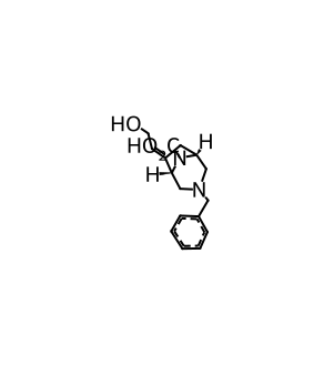 O=C(O)N1[C@@H]2CC(=CCO)[C@H]1CN(Cc1ccccc1)C2